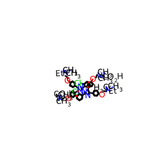 CC[N+](C)(C)CCOc1ccc(C2=NC(c3ccccc3Cl)(n3c(-c4ccccc4Cl)nc(-c4ccc(OCC[N+](C)(C)CC)cc4)c3-c3ccc(OCC[N+](C)(C)CC(=O)O)cc3)N=C2c2ccc(OCC[N+](C)(C)CC(=O)O)cc2)cc1